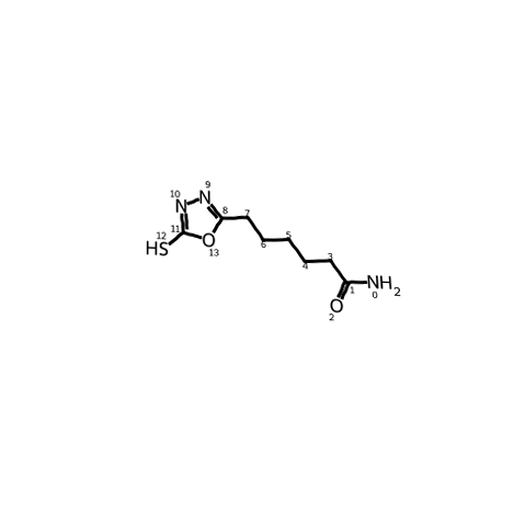 NC(=O)CCCCCc1nnc(S)o1